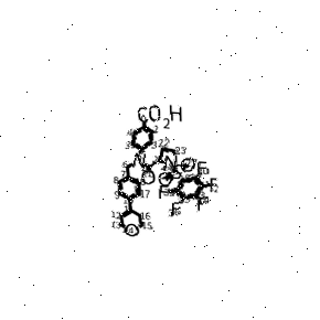 O=C(O)c1ccc(N(Cc2ccc(C3=CCOCC3)cc2)C(=O)[C@H]2CCN2S(=O)(=O)c2c(F)c(F)c(F)c(F)c2F)cc1